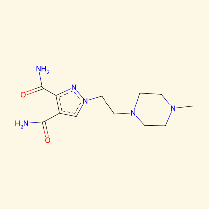 CN1CCN(CCn2cc(C(N)=O)c(C(N)=O)n2)CC1